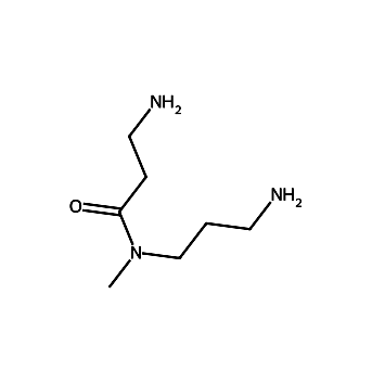 CN(CCCN)C(=O)CCN